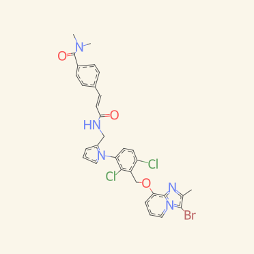 Cc1nc2c(OCc3c(Cl)ccc(-n4cccc4CNC(=O)C=Cc4ccc(C(=O)N(C)C)cc4)c3Cl)cccn2c1Br